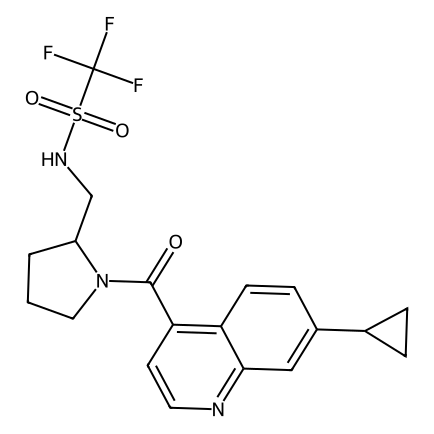 O=C(c1ccnc2cc(C3CC3)ccc12)N1CCCC1CNS(=O)(=O)C(F)(F)F